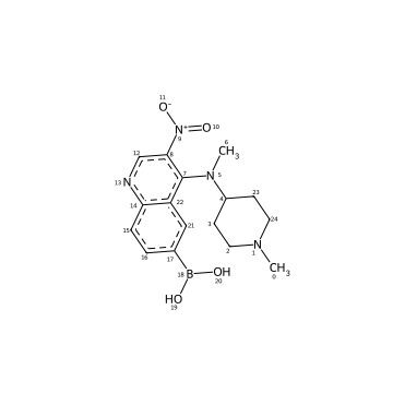 CN1CCC(N(C)c2c([N+](=O)[O-])cnc3ccc(B(O)O)cc23)CC1